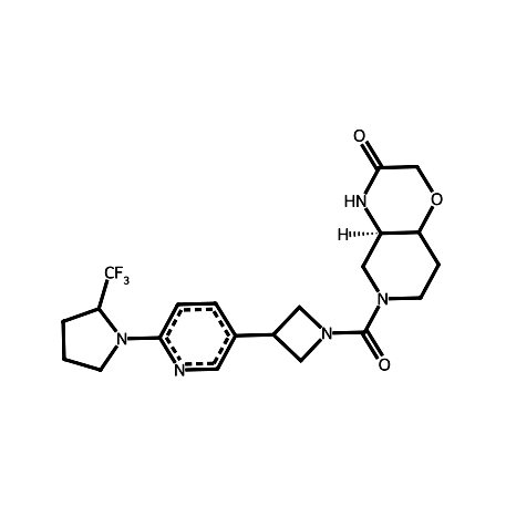 O=C1COC2CCN(C(=O)N3CC(c4ccc(N5CCCC5C(F)(F)F)nc4)C3)C[C@H]2N1